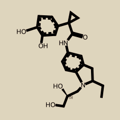 CCC1Cc2cc(NC(=O)C3(c4ccc(O)c(O)c4)CC3)ccc2N1C[C@H](O)CO